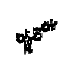 O=C(Nc1cnccc1OCC(F)(F)F)c1ccnc(Nc2ccc(C(F)(F)F)nc2)n1